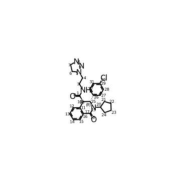 O=C(NCCN1CCN=N1)[C@@H]1c2ccccc2C(=O)N(C2CCCC2)[C@H]1c1ccc(Cl)cc1